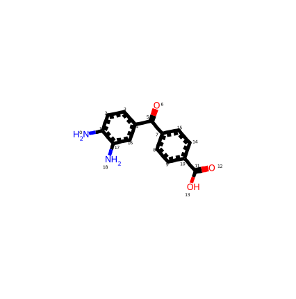 Nc1ccc(C(=O)c2ccc(C(=O)O)cc2)cc1N